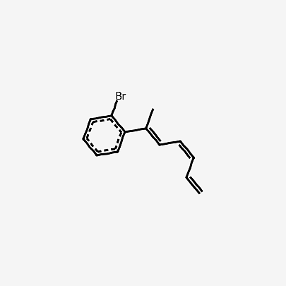 C=C/C=C\C=C(/C)c1ccccc1Br